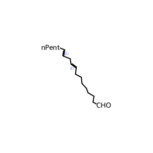 CCCCC/C=C/C/C=C/CCCCCCCC=O